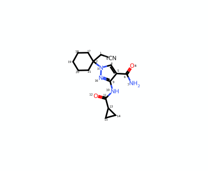 N#CCC1(n2cc(C(N)=O)c(NC(=O)C3CC3)n2)CCCCC1